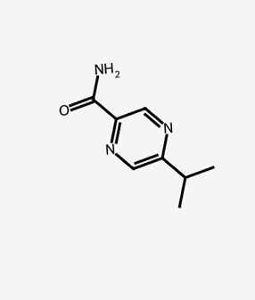 CC(C)c1cnc(C(N)=O)cn1